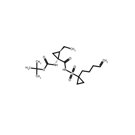 C=CCCCC1(S(=O)(=O)NC(=O)[C@@]2(NC(=O)OC(C)(C)C)C[C@H]2CC)CC1